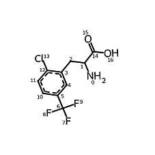 NC(Cc1cc(C(F)(F)F)ccc1Cl)C(=O)O